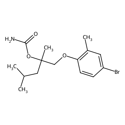 Cc1cc(Br)ccc1OCC(C)(CC(C)C)OC(N)=O